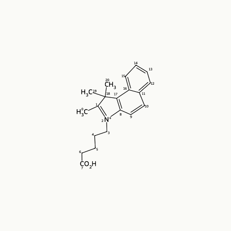 CC1=[N+](CCCCC(=O)O)c2ccc3ccccc3c2C1(C)C